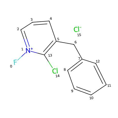 F[n+]1cccc(Cc2ccccc2)c1Cl.[Cl-]